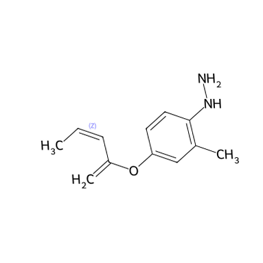 C=C(/C=C\C)Oc1ccc(NN)c(C)c1